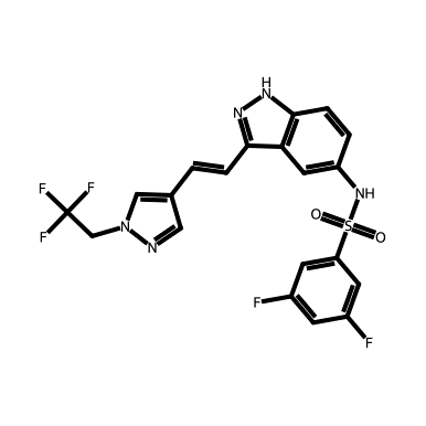 O=S(=O)(Nc1ccc2[nH]nc(C=Cc3cnn(CC(F)(F)F)c3)c2c1)c1cc(F)cc(F)c1